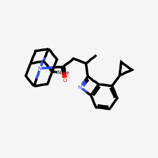 CNC12CC3CC(C1)N(C(=O)CC(C)C1=Nc4cccc(C5CC5)c41)C(C3)C2